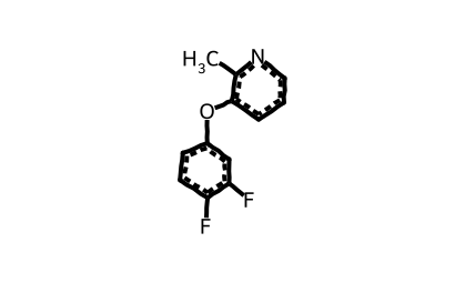 Cc1ncccc1Oc1ccc(F)c(F)c1